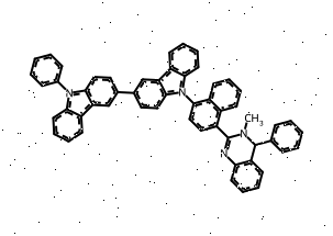 CN1C(c2ccc(-n3c4ccccc4c4cc(-c5ccc6c(c5)c5ccccc5n6-c5ccccc5)ccc43)c3ccccc23)=Nc2ccccc2C1c1ccccc1